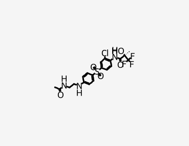 CC(=O)NCCNc1ccc(S(=O)(=O)c2ccc(NC(=O)[C@@](C)(O)C(F)(F)F)c(Cl)c2)cc1